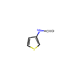 O=[C]Nc1ccsc1